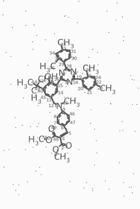 COC(=O)C(=Cc1ccc(N(C)Cc2cc(-c3nc(-c4ccc(C)cc4C)nc(-c4ccc(C)cc4C)n3)c(O)c(C(C)(C)C)c2)cc1)C(=O)OC